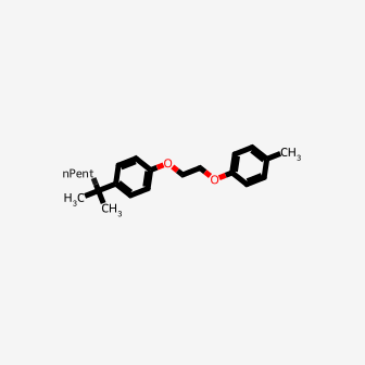 CCCCCC(C)(C)c1c[c]c(OCCOc2ccc(C)cc2)cc1